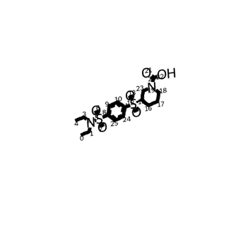 CCN(CC)S(=O)(=O)c1ccc(S(=O)(=O)[C@@H]2CCCN(C(=O)O)C2)cc1